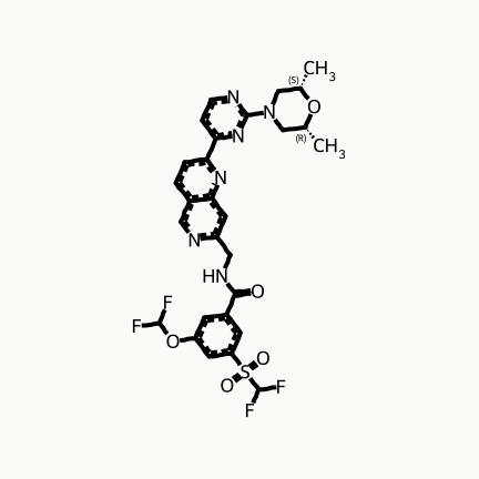 C[C@@H]1CN(c2nccc(-c3ccc4cnc(CNC(=O)c5cc(OC(F)F)cc(S(=O)(=O)C(F)F)c5)cc4n3)n2)C[C@H](C)O1